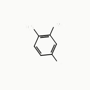 COc1cc(C(F)(F)F)ccc1N